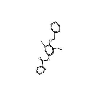 CCc1cc(OC(=O)c2ccccc2)cc(C)c1OCc1ccccc1